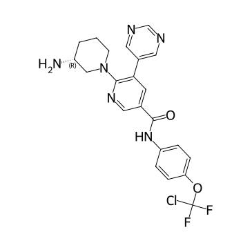 N[C@@H]1CCCN(c2ncc(C(=O)Nc3ccc(OC(F)(F)Cl)cc3)cc2-c2cncnc2)C1